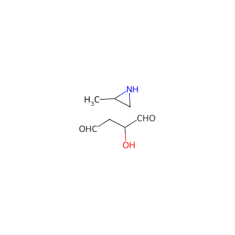 CC1CN1.O=CCC(O)C=O